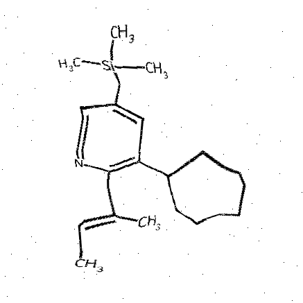 C/C=C(\C)c1ncc([Si](C)(C)C)cc1C1CCCCC1